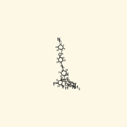 N#Cc1ccc(COc2ccc(C#Cc3ccc(C(F)(F)C(O)(CN(N)/C=N\N)c4ccc(F)cc4F)nc3)cc2)cc1